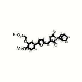 CCOC(=O)COc1cc(-c2ccc(/C=C3\SC(=S)N(C4CC5CCC4C5)C3=O)o2)ccc1OC